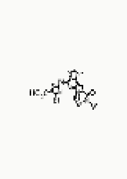 CCc1nc(Nc2nc3c(cc(C(=O)N(C4CC4)C4CC4)n3CC)c3c2ncn3C)sc1C(=O)O